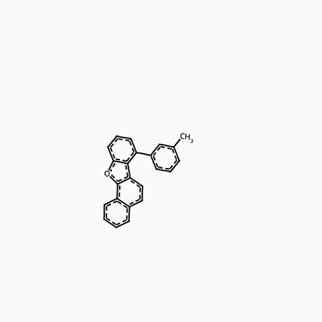 Cc1cccc(-c2cccc3oc4c5ccccc5ccc4c23)c1